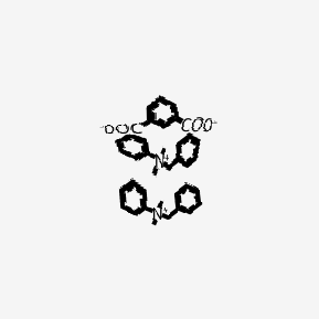 C[N+](C)(Cc1ccccc1)c1ccccc1.C[N+](C)(Cc1ccccc1)c1ccccc1.O=C([O-])c1cccc(C(=O)[O-])c1